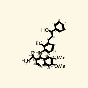 CCc1c(CCC(O)c2ccccc2)cccc1Nc1c(C(N)=O)cnc2cc(OC)c(OC)cc12